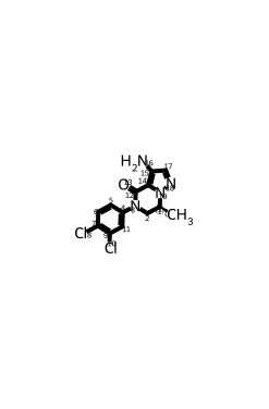 C[C@H]1CN(c2ccc(Cl)c(Cl)c2)C(=O)c2c(N)cnn21